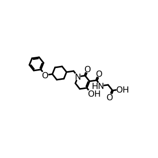 O=C(O)CNC(=O)C1=C(O)CCN(CC2CCC(Oc3ccccc3)CC2)C1=O